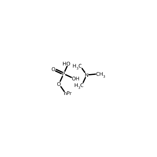 CCCOP(=O)(O)O.CN(C)C